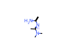 C=C(N)/N=C(\C)N(C)C